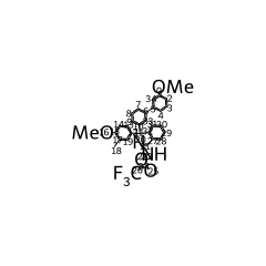 COc1cccc(-c2cccc(C3(c4ccc(OC)c(C)c4)N=C(NOC(=O)C(F)(F)F)c4ccccc43)c2)c1